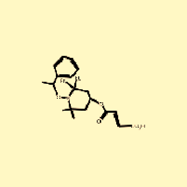 CCC1(CC)CC(OC(=O)C=CC(=O)O)CC(C)(C)N1OC(C)c1ccccc1